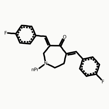 CCCN1CC/C(=C\c2ccc(F)cc2)C(=O)/C(=C/c2ccc(F)cc2)C1